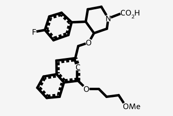 COCCCOc1cc(COC2CN(C(=O)O)CCC2c2ccc(F)cc2)cc2ccccc12